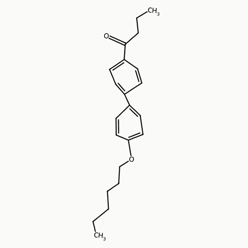 CCCCCCOc1ccc(-c2ccc(C(=O)CCC)cc2)cc1